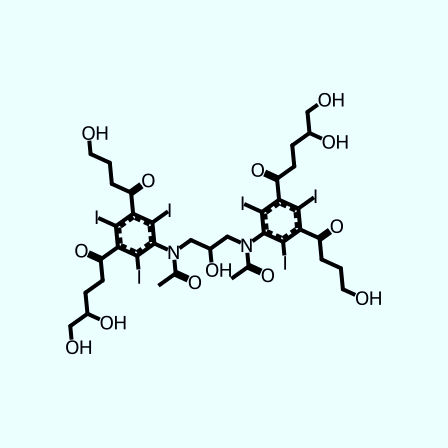 CC(=O)N(CC(O)CN(C(C)=O)c1c(I)c(C(=O)CCCO)c(I)c(C(=O)CCC(O)CO)c1I)c1c(I)c(C(=O)CCCO)c(I)c(C(=O)CCC(O)CO)c1I